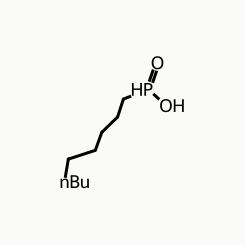 CCCCCCCCC[PH](=O)O